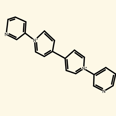 c1cncc(-[n+]2ccc(-c3cc[n+](-c4cccnc4)cc3)cc2)c1